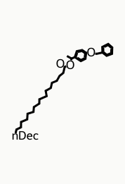 CCCCCCCCCCCCCCCCCCCCCCCCCCC(=O)OC(C)c1ccc(OCc2ccccc2)cc1